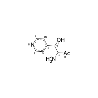 CC(=O)C(N)C(O)c1ccncc1